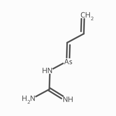 C=CC=[As]NC(=N)N